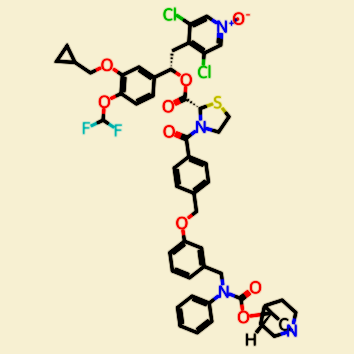 O=C(O[C@@H](Cc1c(Cl)c[n+]([O-])cc1Cl)c1ccc(OC(F)F)c(OCC2CC2)c1)[C@@H]1SCCN1C(=O)c1ccc(COc2cccc(CN(C(=O)O[C@H]3CN4CCC3CC4)c3ccccc3)c2)cc1